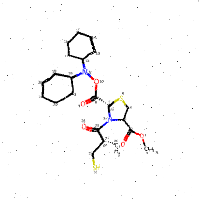 COC(=O)C1CS[C@@H](C(=O)ON(C2CCCCC2)C2CCCCC2)N1C(=O)[C@H](C)CS